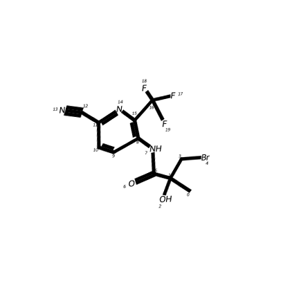 CC(O)(CBr)C(=O)Nc1ccc(C#N)nc1C(F)(F)F